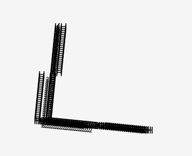 O.O.O.O.O.O.O.O.O.O.O.O.O.O.O.O.O.O.O.O.O.O.O.O.O.O.O.O.O.O.O.O.O.O.O.O.O.O.O.O.O.O.O.O.O.O.O.O.O.O.[KH].[KH].[KH].[KH].[KH].[KH].[KH].[KH].[KH].[KH].[KH].[KH].[KH].[KH].[KH].[KH].[KH].[KH].[KH].[KH].[KH].[KH].[KH].[KH].[KH].[KH].[KH].[KH].[KH].[KH].[KH].[KH].[KH].[KH].[KH].[KH].[KH].[KH].[KH].[KH].[KH].[KH].[KH].[KH].[KH].[KH].[KH].[KH].[KH].[KH]